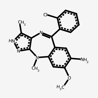 COc1cc2c(cc1N)C(c1ccccc1Cl)=Nc1c(n[nH]c1C)N2C